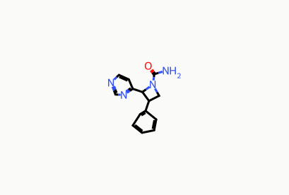 NC(=O)N1CC(c2ccccc2)C1c1ccncn1